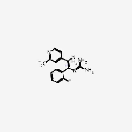 NC(N)=N/C(=C(\N)c1ccnc(C(F)(F)F)c1)c1ccccc1F